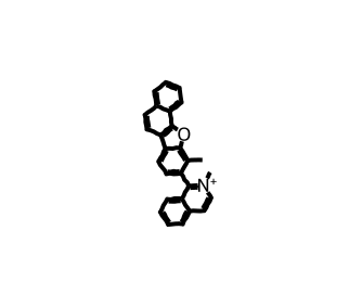 Cc1c(-c2c3ccccc3cc[n+]2C)ccc2c1oc1c3ccccc3ccc21